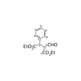 CCOC(=O)C(C=O)C(C(=O)OCC)c1ccccc1